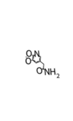 NC(=O)Cc1cnc2c(c1)OCO2